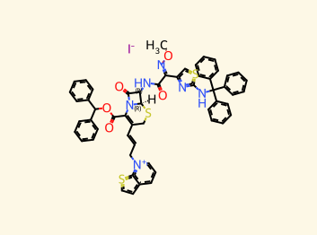 CON=C(C(=O)N[C@@H]1C(=O)N2C(C(=O)OC(c3ccccc3)c3ccccc3)=C(C=CC[n+]3cccc4ccsc43)CS[C@H]12)c1csc(NC(c2ccccc2)(c2ccccc2)c2ccccc2)n1.[I-]